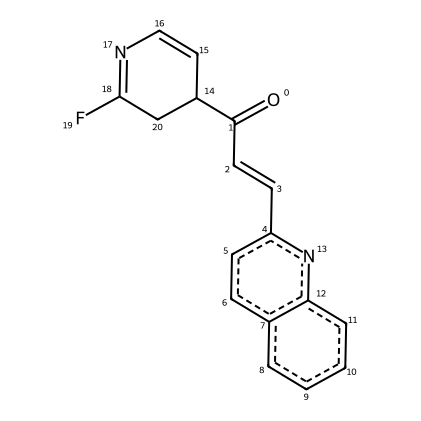 O=C(/C=C/c1ccc2ccccc2n1)C1C=CN=C(F)C1